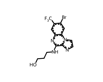 OCCCNc1nc2cc(C(F)(F)F)c(Br)cc2n2ccnc12